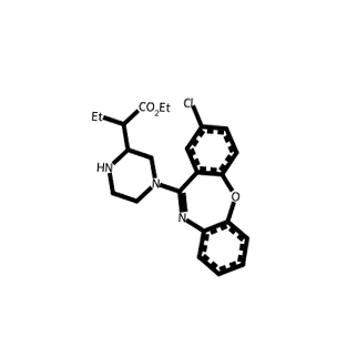 CCOC(=O)C(CC)C1CN(C2=Nc3ccccc3Oc3ccc(Cl)cc32)CCN1